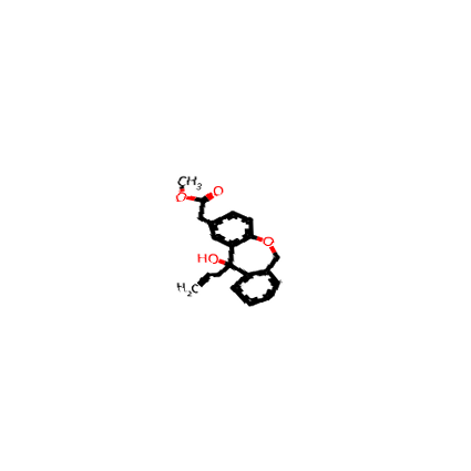 C=CCC1(O)c2ccccc2COc2ccc(CC(=O)OC)cc21